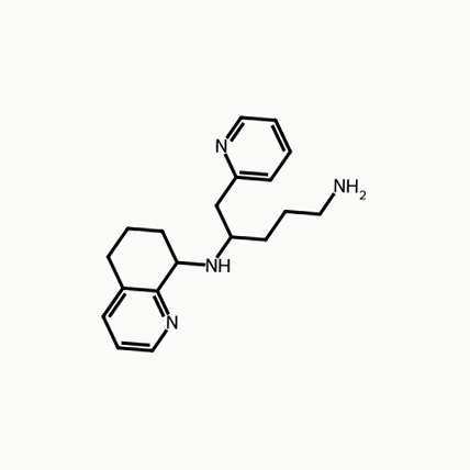 NCCCC(Cc1ccccn1)NC1CCCc2cccnc21